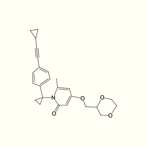 Cc1cc(OCC2COCCO2)cc(=O)n1C1(c2ccc(C#CC3CC3)cc2)CC1